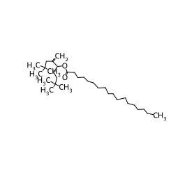 C=C(CC(C)(C)C)C(CCC(C)(C)C)OC(=O)CCCCCCCCCCCCCCCCC